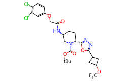 CC(C)(C)OC(=O)N1C[C@@H](NC(=O)COc2ccc(Cl)c(Cl)c2)CC[C@@H]1c1nnc(C2CC(OC(F)(F)F)C2)o1